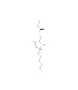 CCCCCCC(C)(CCC)N(C)CCOC(=O)CCN